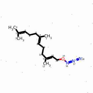 CC(C)=CCCC(C)=CCCC(C)=CCON=[N+]=[N-]